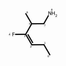 CC/C=C(/F)C(C)CN